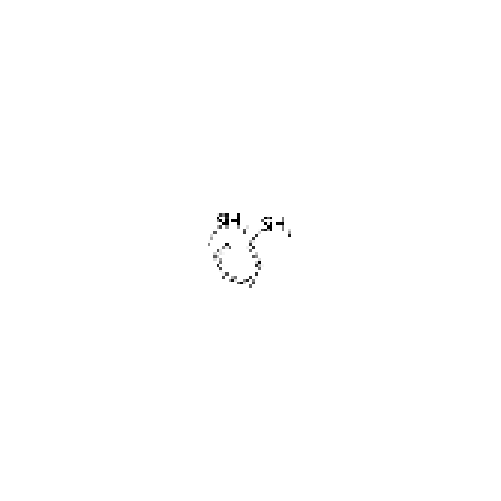 C[SiH3].[SiH3]c1ccccc1